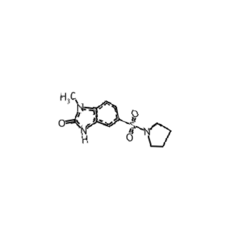 Cn1c(=O)[nH]c2cc(S(=O)(=O)N3CCCC3)ccc21